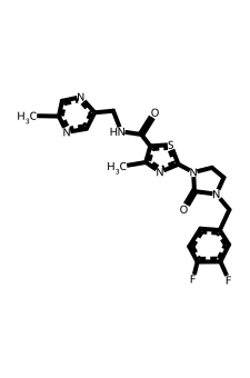 Cc1cnc(CNC(=O)c2sc(N3CCN(Cc4ccc(F)c(F)c4)C3=O)nc2C)cn1